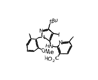 COc1cccc(C)c1-n1nc(C(C)(C)C)c(I)c1Nc1nc(C)ccc1C(=O)O